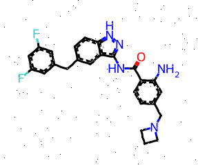 Nc1cc(CN2CCC2)ccc1C(=O)Nc1n[nH]c2ccc(Cc3cc(F)cc(F)c3)cc12